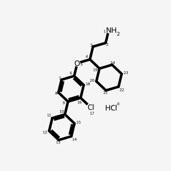 Cl.NCCC(Oc1ccc(-c2ccccc2)c(Cl)c1)C1CCCCC1